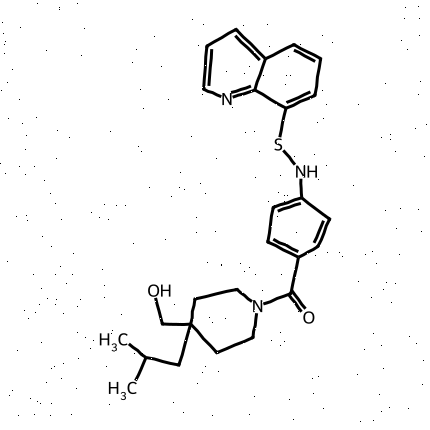 CC(C)CC1(CO)CCN(C(=O)c2ccc(NSc3cccc4cccnc34)cc2)CC1